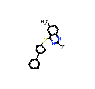 Cc1ccc2nc(C(F)(F)F)nc(Sc3ccc(-c4ccccc4)cc3)c2c1